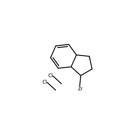 CCl.CCl.[Zr][CH]1CCC2C=CC=CC12